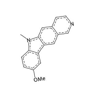 COc1ccc2c(c1)c1cc3cnccc3cc1n2C